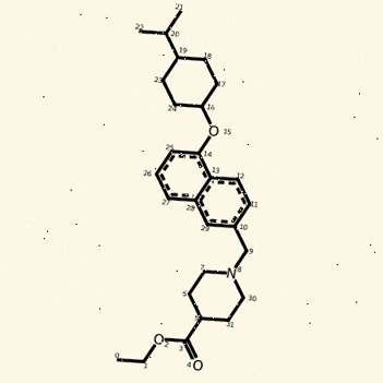 CCOC(=O)C1CCN(Cc2ccc3c(OC4CCC(C(C)C)CC4)cccc3c2)CC1